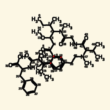 CCC(C)C(C(CC(=O)N1CCCC1C(OC)C(C)C(=O)NC(Cc1ccccc1)C(=O)O)OC)N(C)C(=O)CNC(=O)C(C(C)C)N(C)CCc1ccc(N(C)C)cc1